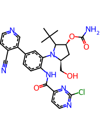 CC(C)(C)C1[C@@H](OC(N)=O)C[C@@H](CO)N1c1cc(-c2cnccc2C#N)ccc1NC(=O)c1ccnc(Cl)n1